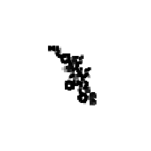 CC[C@H](C)[C@@H](C(=O)N[C@@H](Cc1ccccc1)[C@H](O)CN(CC(C)C)S(=O)(=O)c1ccc(C=NO)cc1)N1CC(=O)N(Cc2cccc([N+](=O)[O-])c2)C1=O